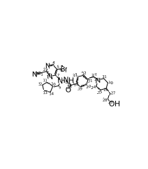 N#Cc1ncc(Br)c(N(CC2CCCC2)NC(=O)c2ccc(CN3CCC(CCO)CC3)cc2)n1